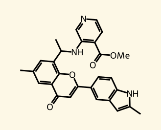 COC(=O)c1ccncc1NC(C)c1cc(C)cc2c(=O)cc(-c3ccc4[nH]c(C)cc4c3)oc12